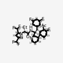 CC[C@H](C(=O)N[C@@H](Cc1cc(F)cc(F)c1)c1ncccc1-c1ccc(F)c(C(C)=O)c1)n1nc(C(F)F)cc1C(F)F